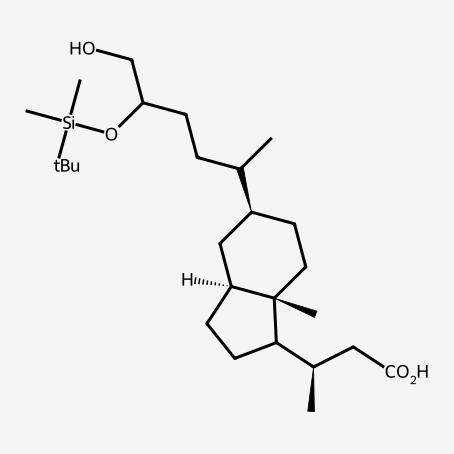 CC(CCC(CO)O[Si](C)(C)C(C)(C)C)[C@H]1CC[C@]2(C)C([C@H](C)CC(=O)O)CC[C@H]2C1